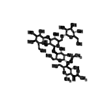 CC(=O)NC1[C@H](O[C@@H]2C(CO)O[C@@H](C)C(NC(C)=O)[C@H]2O)OC(CO)[C@@H](O[C@@H]2OC(CO[C@H]3OC(CO)[C@@H](O)[C@H](O)C3O)[C@@H](O)[C@H](O[C@H]3OC(CO)[C@@H](O)C(O)C3O)C2O)[C@@H]1O